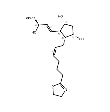 CCCCC[C@H](O)/C=C/[C@@H]1[C@@H](C/C=C\CCCC2=NCCS2)[C@@H](O)C[C@H]1O